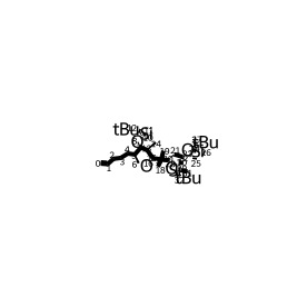 C=CCCC[C@H](C)[C@H](O[Si](C)(C)C(C)(C)C)[C@@H](C)C(=O)C(C)(C)[C@H](CCO[Si](C)(C)C(C)(C)C)O[Si](C)(C)C(C)(C)C